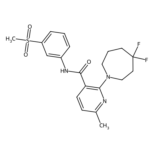 Cc1ccc(C(=O)Nc2cccc(S(C)(=O)=O)c2)c(N2CCCC(F)(F)CC2)n1